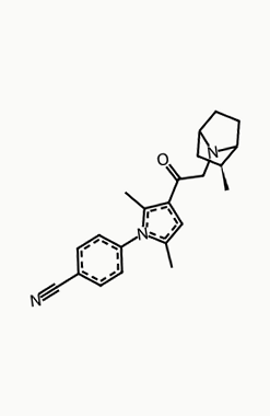 Cc1cc(C(=O)CN2C3CCC2[C@@H](C)C3)c(C)n1-c1ccc(C#N)cc1